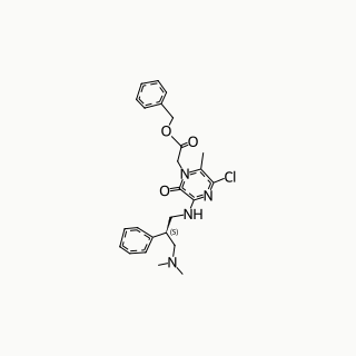 Cc1c(Cl)nc(NC[C@@H](CN(C)C)c2ccccc2)c(=O)n1CC(=O)OCc1ccccc1